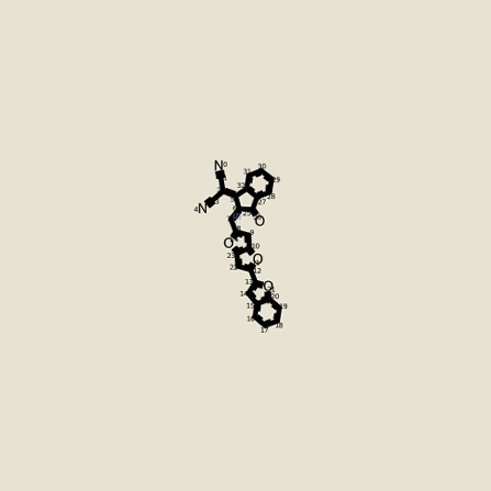 N#CC(C#N)=C1/C(=C/c2cc3oc(-c4cc5ccccc5o4)cc3o2)C(=O)c2ccccc21